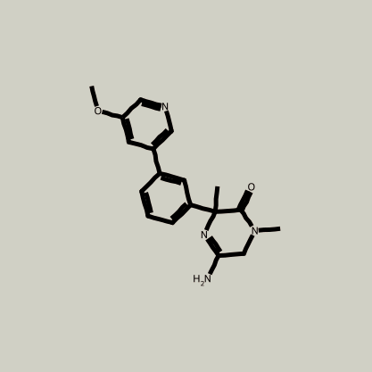 COc1cncc(-c2cccc(C3(C)N=C(N)CN(C)C3=O)c2)c1